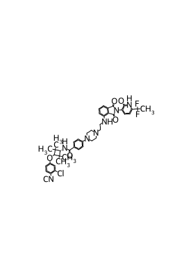 CC(F)(F)c1ccc(N2C(=O)c3cccc(NCCN4CCN(c5ccc(C(=O)N[C@H]6C(C)(C)[C@H](Oc7ccc(C#N)c(Cl)c7)C6(C)C)cc5)CC4)c3C2=O)c(=O)[nH]1